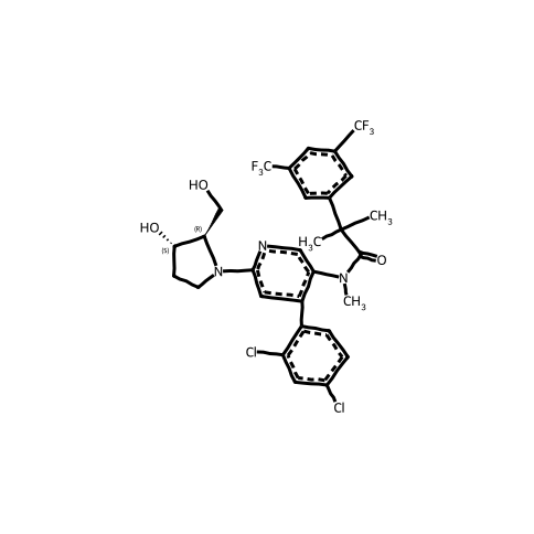 CN(C(=O)C(C)(C)c1cc(C(F)(F)F)cc(C(F)(F)F)c1)c1cnc(N2CC[C@H](O)[C@H]2CO)cc1-c1ccc(Cl)cc1Cl